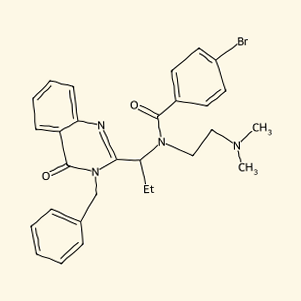 CCC(c1nc2ccccc2c(=O)n1Cc1ccccc1)N(CCN(C)C)C(=O)c1ccc(Br)cc1